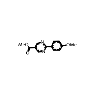 COC(=O)c1cnc(-c2ccc(OC)cc2)nc1